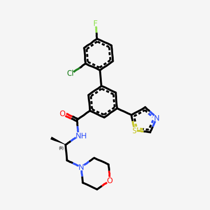 C[C@H](CN1CCOCC1)NC(=O)c1cc(-c2cncs2)cc(-c2ccc(F)cc2Cl)c1